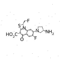 N[C@@H]1CCN(c2cc3c(cc2F)c(=O)c(C(=O)O)c2n3[C@H](CF)S2)C1